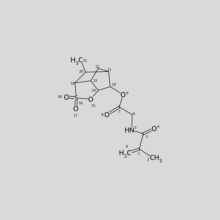 C=C(C)C(=O)NCC(=O)OC1C2CC3C1OS(=O)(=O)C3C2C